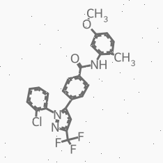 COc1ccc(C)c(NC(=O)c2ccc(-c3cc(C(F)(F)F)nn3-c3ccccc3Cl)cc2)c1